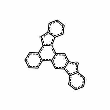 c1ccc2c(c1)nc1c3ccccc3c3cc4c(cc3n21)oc1ccccc14